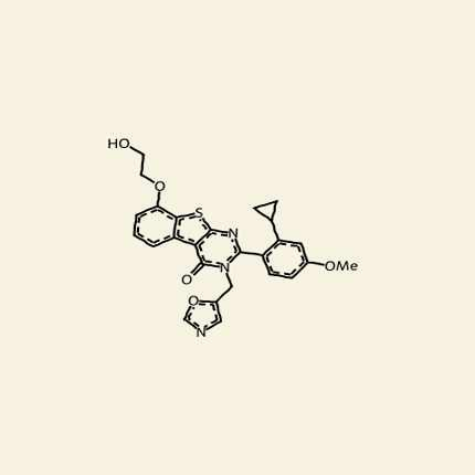 COc1ccc(-c2nc3sc4c(OCCO)cccc4c3c(=O)n2Cc2cnco2)c(C2CC2)c1